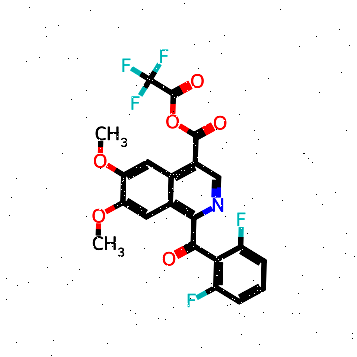 COc1cc2c(C(=O)OC(=O)C(F)(F)F)cnc(C(=O)c3c(F)cccc3F)c2cc1OC